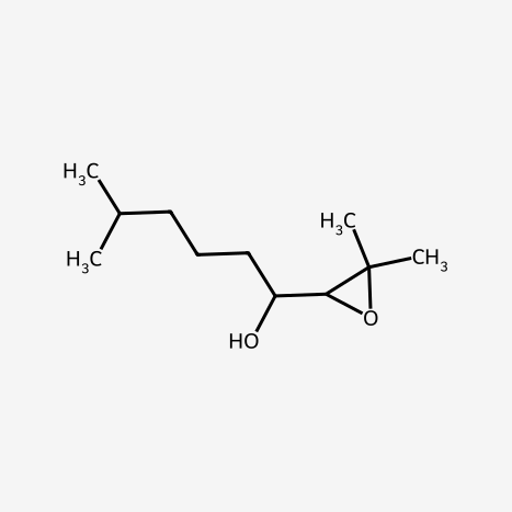 CC(C)CCCC(O)C1OC1(C)C